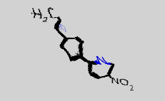 [CH2]/C=C/c1ccc(-c2ccc([N+](=O)[O-])cn2)cc1